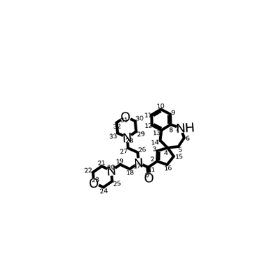 O=C(C1=CC2(CCNc3ccccc3C2)CC1)N(CCN1CCOCC1)CCN1CCOCC1